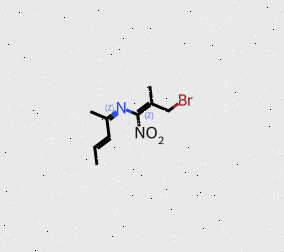 CC=C/C(C)=N\C(=C(/C)CBr)[N+](=O)[O-]